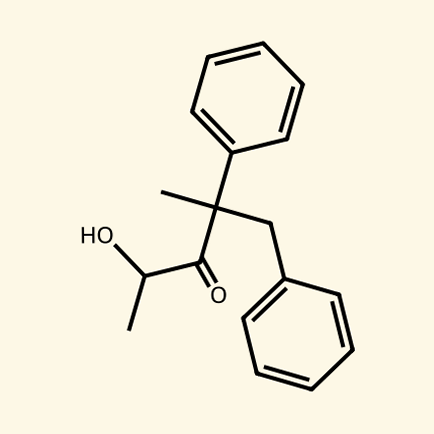 CC(O)C(=O)C(C)(Cc1ccccc1)c1ccccc1